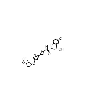 O=C(NC12CC(n3cc(O[C@@H]4CC[C@@H](OC(F)(F)F)C4)cn3)(C1)C2)[C@H]1C[C@@H](O)c2cc(Cl)ccc2O1